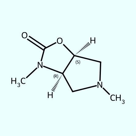 CN1C[C@@H]2OC(=O)N(C)[C@@H]2C1